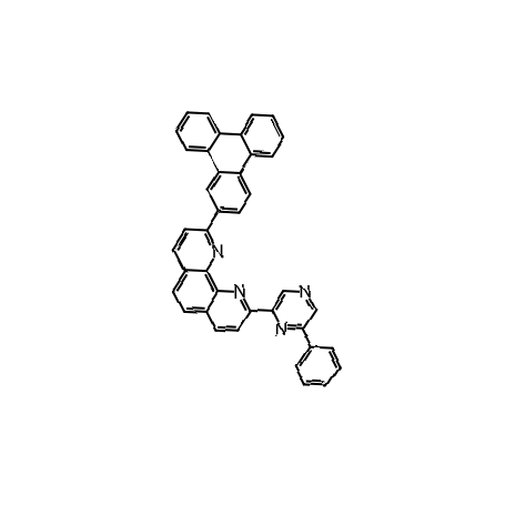 c1ccc(-c2cncc(-c3ccc4ccc5ccc(-c6ccc7c8ccccc8c8ccccc8c7c6)nc5c4n3)n2)cc1